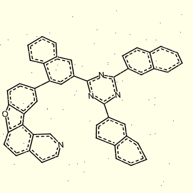 c1ccc2cc(-c3nc(-c4ccc5ccccc5c4)nc(-c4cc(-c5ccc6oc7ccc8ccncc8c7c6c5)c5ccccc5c4)n3)ccc2c1